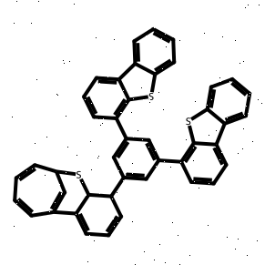 C1=CC2=CC(C=C1)SC1C2=CC=CC1c1cc(-c2cccc3c2sc2ccccc23)cc(-c2cccc3c2sc2ccccc23)c1